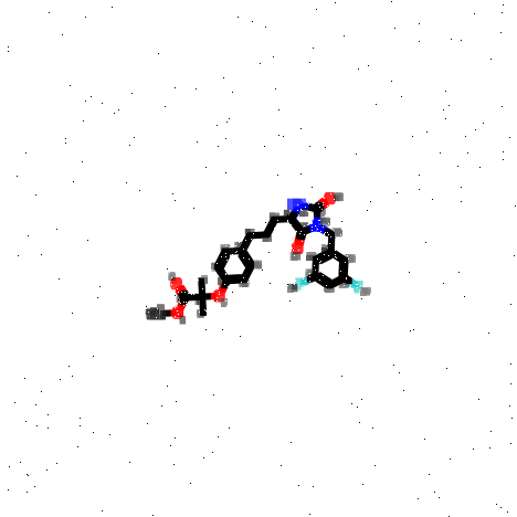 CC(C)(C)OC(=O)C(C)(C)Oc1ccc(CCCC2NC(=O)N(Cc3cc(F)cc(F)c3)C2=O)cc1